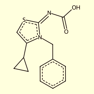 O=C(O)/N=c1/scc(C2CC2)n1Cc1ccccc1